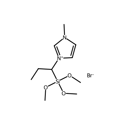 CCC([n+]1ccn(C)c1)[Si](OC)(OC)OC.[Br-]